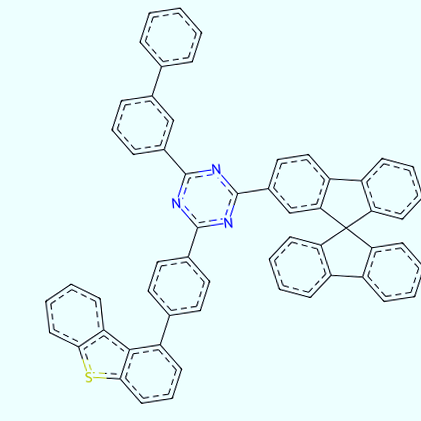 c1ccc(-c2cccc(-c3nc(-c4ccc(-c5cccc6sc7ccccc7c56)cc4)nc(-c4ccc5c(c4)C4(c6ccccc6-c6ccccc64)c4ccccc4-5)n3)c2)cc1